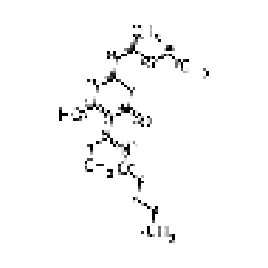 CCCCON=C(CC)C1=C(O)CC(CC(C)SCC)CC1=O